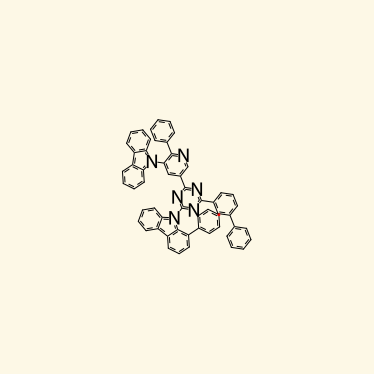 c1ccc(-c2cccc(-c3nc(-c4cnc(-c5ccccc5)c(-n5c6ccccc6c6ccccc65)c4)nc(-n4c5ccccc5c5cccc(-c6ccccc6)c54)n3)c2)cc1